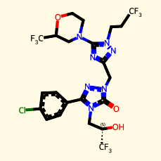 O=c1n(Cc2nc(N3CCOC(C(F)(F)F)C3)n(CCC(F)(F)F)n2)nc(-c2ccc(Cl)cc2)n1C[C@H](O)C(F)(F)F